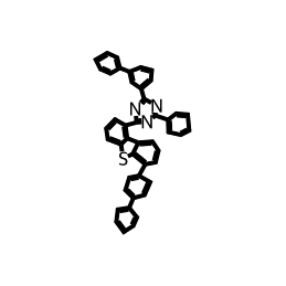 c1ccc(-c2ccc(-c3cccc4c3sc3cccc(-c5nc(-c6ccccc6)nc(-c6cccc(-c7ccccc7)c6)n5)c34)cc2)cc1